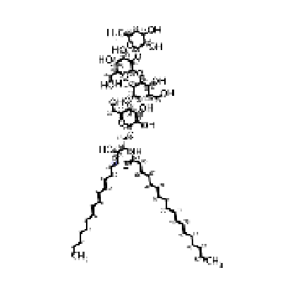 CCCCCCCCCCCCC/C=C/[C@@H](O)[C@H](CO[C@@H]1OC(CO)[C@@H](O[C@@H]2OC(CO)[C@H](O)[C@H](O[C@H]3OC(CO)[C@H](O)[C@H](O)C3O[C@@H]3OC(C)CC(O)[C@@H]3O)C2O)[C@H](O)C1O)NC(=O)CCCCCCCCCCCCCCCCC